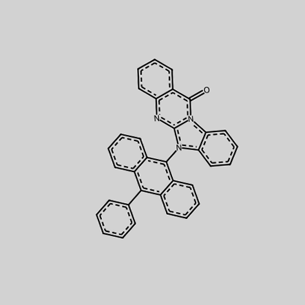 O=c1c2ccccc2nc2n(-c3c4ccccc4c(-c4ccccc4)c4ccccc34)c3ccccc3n12